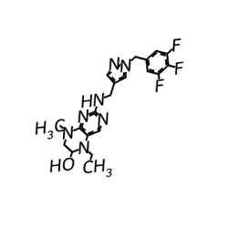 CCN1c2cnc(NCc3cnn(Cc4cc(F)c(F)c(F)c4)c3)nc2N(C)CC1O